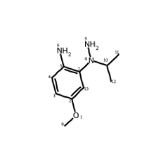 COc1ccc(N)c(N(N)C(C)C)c1